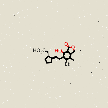 CCc1c(C)c2c(c(O)c1CC=C1CCC[C@H]1CC(=O)O)C(=O)OC2